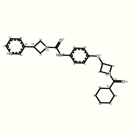 O=C(Nc1ccc(OC2CN(C(=O)C3CCCCC3)C2)cc1)N1CC(c2cccnc2)C1